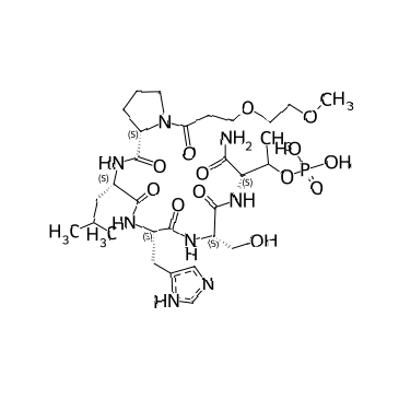 COCCOCCC(=O)N1CCC[C@H]1C(=O)N[C@@H](CC(C)C)C(=O)N[C@@H](Cc1cnc[nH]1)C(=O)N[C@@H](CO)C(=O)N[C@H](C(N)=O)C(C)OP(=O)(O)O